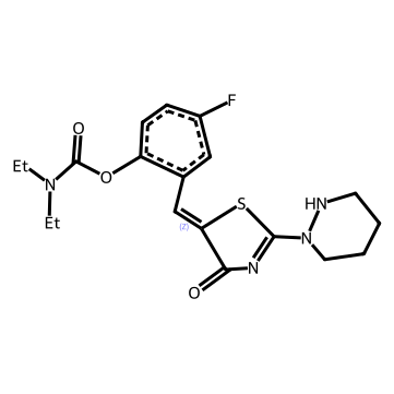 CCN(CC)C(=O)Oc1ccc(F)cc1/C=C1\SC(N2CCCCN2)=NC1=O